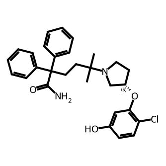 CC(C)(CCC(C(N)=O)(c1ccccc1)c1ccccc1)N1CC[C@H](Oc2cc(O)ccc2Cl)C1